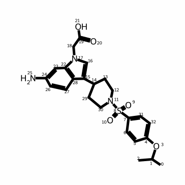 CC(C)Oc1ccc(S(=O)(=O)N2CCC(c3cn(CC(=O)O)c4cc(N)ccc34)CC2)cc1